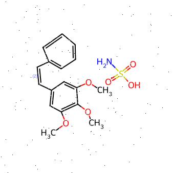 COc1cc(/C=C\c2ccccc2)cc(OC)c1OC.NS(=O)(=O)O